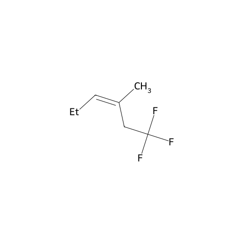 [CH2]CC=C(C)CC(F)(F)F